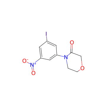 O=C1COCCN1c1cc(I)cc([N+](=O)[O-])c1